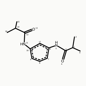 CC(C)C(=O)Nc1c[c]cc(NC(=O)C(C)C)c1